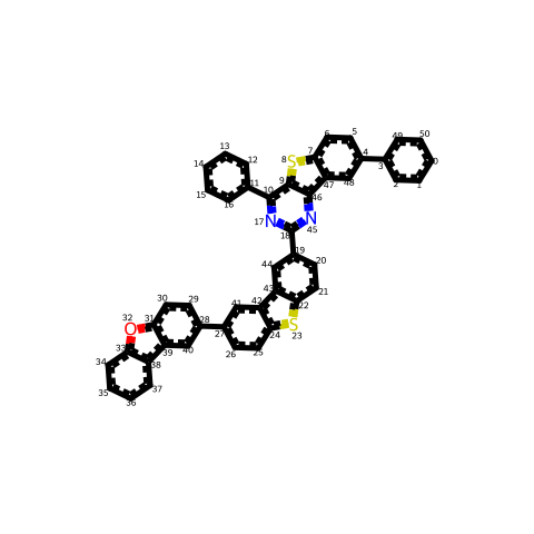 c1ccc(-c2ccc3sc4c(-c5ccccc5)nc(-c5ccc6sc7ccc(-c8ccc9oc%10ccccc%10c9c8)cc7c6c5)nc4c3c2)cc1